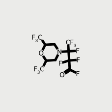 O=C(F)C(F)(F)C(F)(N1CC(C(F)(F)F)OC(C(F)(F)F)C1)C(F)(F)F